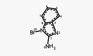 Nc1nc2ccccc2n1Br